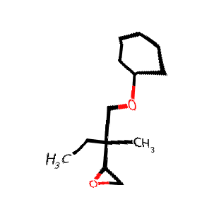 CCC(C)(COC1CCCCC1)C1CO1